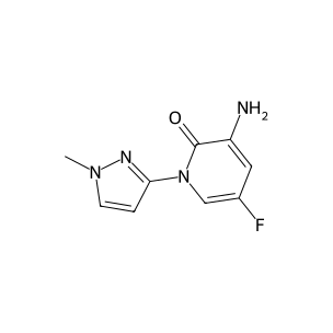 Cn1ccc(-n2cc(F)cc(N)c2=O)n1